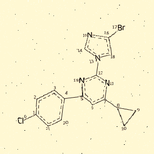 Clc1ccc(-c2cc(C3CC3)nc(-n3cnc(Br)c3)n2)cc1